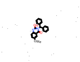 COc1ccc2nc(O)n(C(c3ccccc3)c3ccccc3)c(=O)c2c1